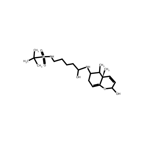 CC1C(NC(O)CCCCNS(=O)(=O)C(C)(C)C)CC=C2OC(O)C=C[C@]21C